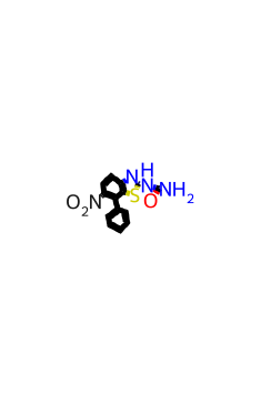 NC(=O)Nc1nc2ccc([N+](=O)[O-])c(-c3ccccc3)c2s1